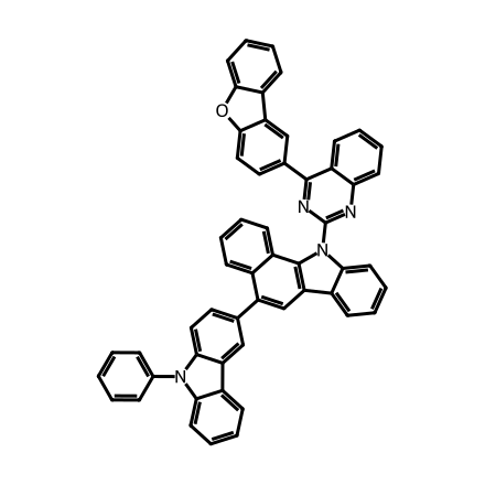 c1ccc(-n2c3ccccc3c3cc(-c4cc5c6ccccc6n(-c6nc(-c7ccc8oc9ccccc9c8c7)c7ccccc7n6)c5c5ccccc45)ccc32)cc1